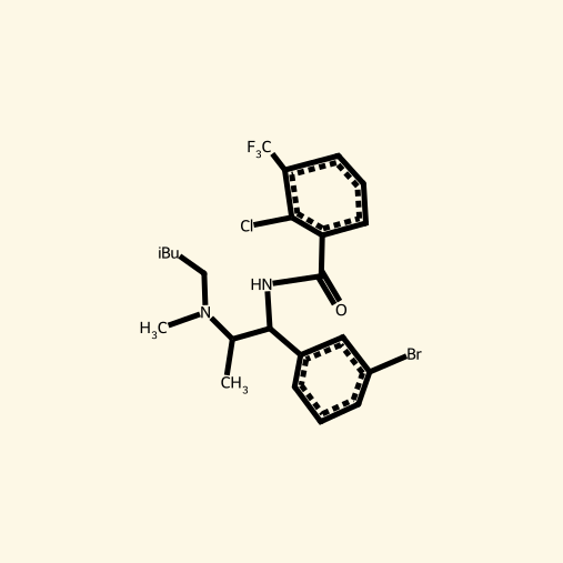 CCC(C)CN(C)C(C)C(NC(=O)c1cccc(C(F)(F)F)c1Cl)c1cccc(Br)c1